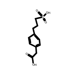 O=C(O)Cc1ccc(CCCS(=O)(=O)O)cc1